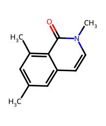 Cc1cc(C)c2c(=O)n(C)ccc2c1